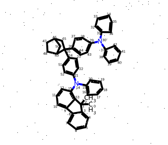 CC1(C)c2ccccc2-c2cccc(N(c3ccccc3)c3ccc(C4(c5ccc(N(c6ccccc6)c6ccccc6)cc5)CC5CCC4C5)cc3)c21